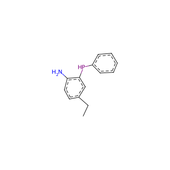 CCc1ccc(N)c(Pc2ccccc2)c1